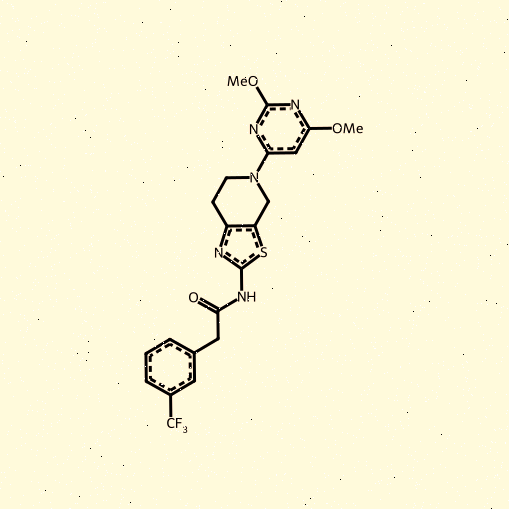 COc1cc(N2CCc3nc(NC(=O)Cc4cccc(C(F)(F)F)c4)sc3C2)nc(OC)n1